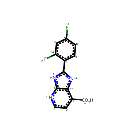 O=C(O)c1ccnc2[nH]c(-c3ccc(F)cc3F)nc12